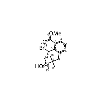 COC(=O)c1cccc(CC(C)(C)[Si](C)(C)O)c1CBr